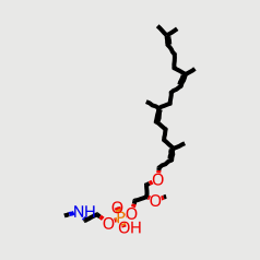 CNCCOP(=O)(O)OCC(COCC=C(C)CCC=C(C)CCC=C(C)CCC=C(C)C)OC